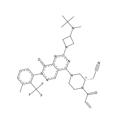 C=CC(=O)N1CCN(c2nc(N3CC(N(C)C(C)(C)C)C3)nc3c(=O)n(-c4cccc(C)c4C(F)(F)F)ncc23)C[C@@H]1CC#N